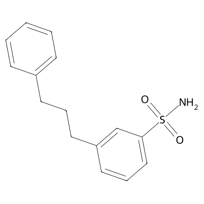 NS(=O)(=O)c1cccc(CCCc2ccccc2)c1